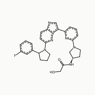 O=C(CO)N[C@@H]1CCN(c2cccc(-c3cnc4ccc(N5CCCC5c5cccc(F)c5)nn34)n2)C1